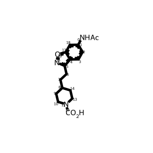 CC(=O)Nc1ccc2c(CCC3CCN(C(=O)O)CC3)noc2c1